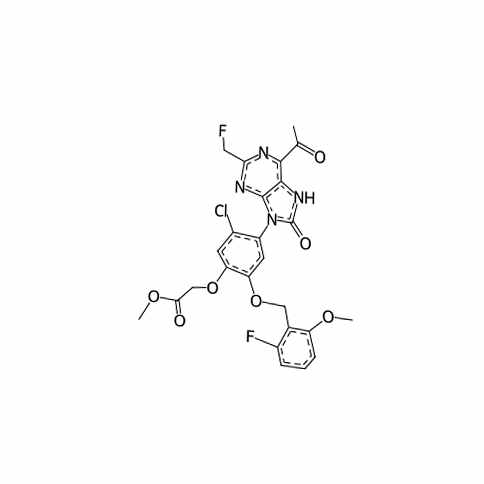 COC(=O)COc1cc(Cl)c(-n2c(=O)[nH]c3c(C(C)=O)nc(CF)nc32)cc1OCc1c(F)cccc1OC